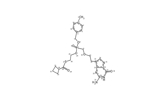 Cc1ccc(COP(=O)(COCCn2cnc3c(=O)[nH]c(N)nc32)OCCSC(=O)C2CCC2)cc1